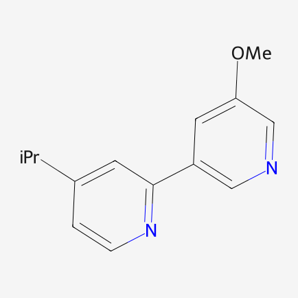 COc1cncc(-c2cc(C(C)C)ccn2)c1